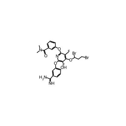 CN(C)C(=O)c1cccc(Oc2nc(Oc3cc(C(=N)N)ccc3O)c(F)c(OC(Br)CCBr)c2F)c1